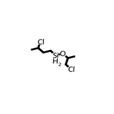 CC(Cl)CC[SiH2]OC(C)CCl